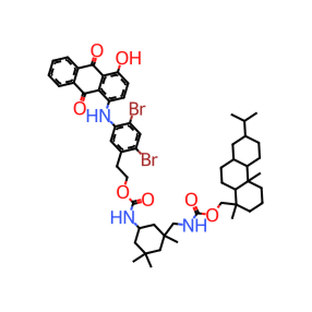 CC(C)C1CCC2C(CCC3C(C)(COC(=O)NCC4(C)CC(NC(=O)OCCc5cc(Nc6ccc(O)c7c6C(=O)c6ccccc6C7=O)c(Br)cc5Br)CC(C)(C)C4)CCCC23C)C1